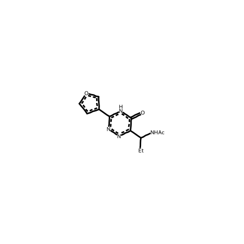 CCC(NC(C)=O)c1nnc(-c2ccoc2)[nH]c1=O